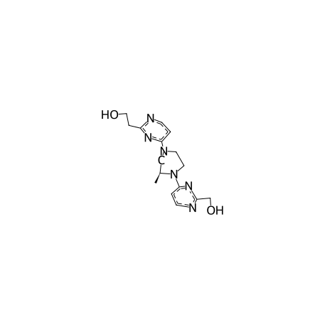 C[C@H]1CN(c2ccnc(CCO)n2)CCN1c1ccnc(CO)n1